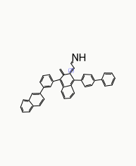 C=c1c(-c2cccc(-c3ccc4ccccc4c3)c2)c2ccccc2c(-c2ccc(-c3ccccc3)cc2)/c1=C/C=N